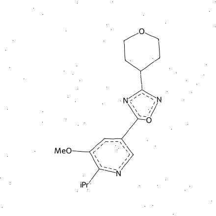 COc1cc(-c2nc(C3CCOCC3)no2)cnc1C(C)C